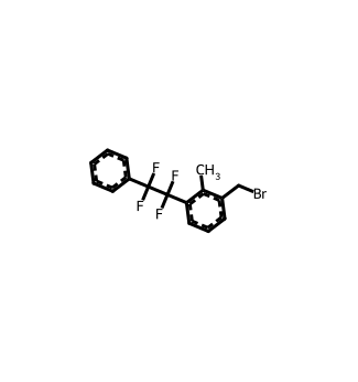 Cc1c(CBr)cccc1C(F)(F)C(F)(F)c1ccccc1